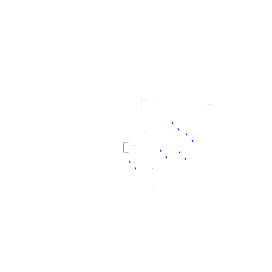 CCN(C(=O)n1nnn(-c2c(F)cccc2F)c1=O)/C(C)=C/C=C(C)C